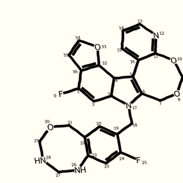 FC1=CC2C(C3=C(COCOc4ncccc43)N2Cc2cc3c(cc2F)NCNCOC3)c2occc21